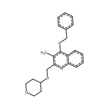 Cc1c(COC2CCOCC2)nc2ccccc2c1OCc1ccccc1